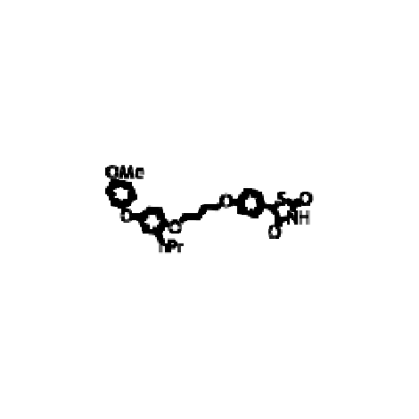 CCCc1cc(Oc2ccc(OC)cc2)ccc1OCCCCOc1ccc(C2SC(=O)NC2=O)cc1